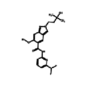 CC(C)Oc1cc2nn(CCC(C)(C)O)cc2cc1C(=O)Nc1cccc(C(F)F)n1